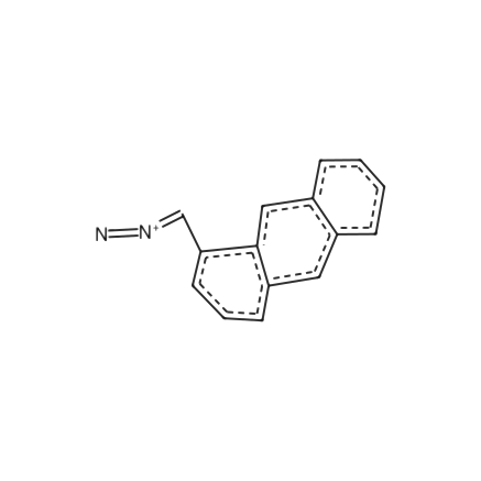 [N-]=[N+]=Cc1cccc2cc3ccccc3cc12